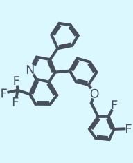 Fc1cccc(COc2cccc(-c3c(-c4ccccc4)cnc4c(C(F)(F)F)cccc34)c2)c1F